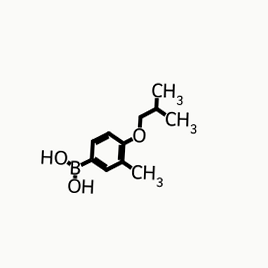 Cc1cc(B(O)O)ccc1OCC(C)C